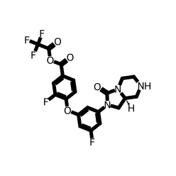 O=C(OC(=O)C(F)(F)F)c1ccc(Oc2cc(F)cc(N3C[C@@H]4CNCCN4C3=O)c2)c(F)c1